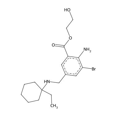 CCC1(NCc2cc(Br)c(N)c(C(=O)OCCO)c2)CCCCC1